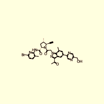 C#C[C@@H]1[C@@H](C)C[C@@H](C(=O)Nc2nc(Br)ccc2C)N1C(=O)Cn1nc(C(C)=O)c2cc(-c3cnc(CO)cn3)cc(C)c21